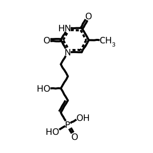 Cc1cn(CCC(O)C=CP(=O)(O)O)c(=O)[nH]c1=O